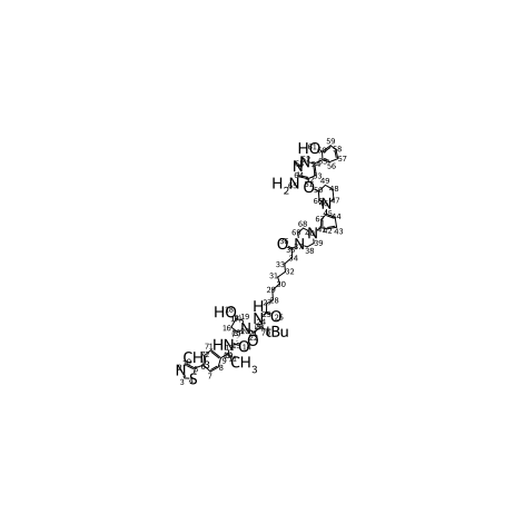 Cc1ncsc1-c1ccc([C@H](C)NC(=O)[C@@H]2C[C@@H](O)CN2C(=O)[C@@H](NC(=O)CCCCCCCCC(=O)N2CCN(c3cccc(N4CCCC(Oc5cc(-c6ccccc6O)nnc5N)C4)c3)CC2)C(C)(C)C)cc1